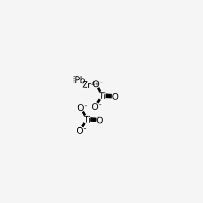 [O]=[Ti]([O-])[O-].[O]=[Ti]([O-])[O-].[Pb].[Zr+4]